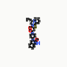 CC(C)CCN1C(=O)C(CC(=O)N2CCC(N3Cc4ccccc4NC3=O)CC2)SC1c1ccccn1